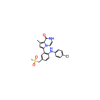 Cc1cc(-c2cc(CS(C)(=O)=O)ccc2Nc2ccc(Cl)cc2)n2cc[nH]c(=O)c12